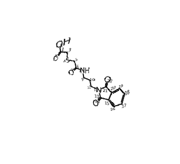 O=C(O)CSCC(=O)NCCCN1C(=O)c2ccccc2C1=O